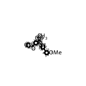 COc1cccc(-c2cnc(-n3cc(S(C)(=O)=O)c4ccc(C(=O)N5CCOCC5)cc43)nc2)c1